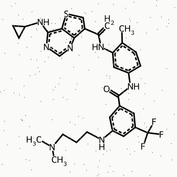 C=C(Nc1cc(NC(=O)c2cc(NCCCN(C)C)cc(C(F)(F)F)c2)ccc1C)c1csc2c(NC3CC3)ncnc12